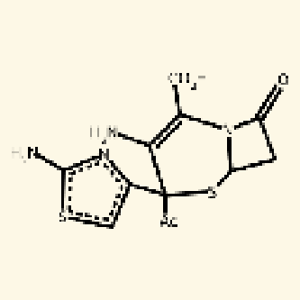 CC(=O)C1(c2csc(N)n2)SC2CC(=O)N2C(C(=O)O)=C1N